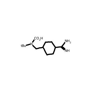 CC(C)(C)N(CC1CCC(C(=N)N)CC1)C(=O)O